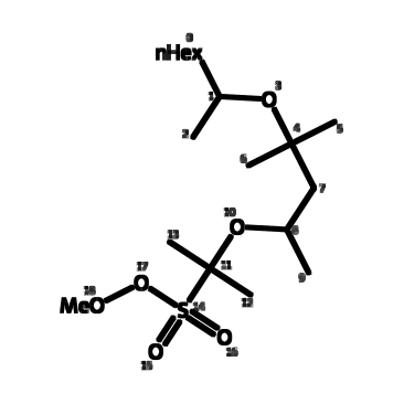 CCCCCCC(C)OC(C)(C)CC(C)OC(C)(C)S(=O)(=O)OOC